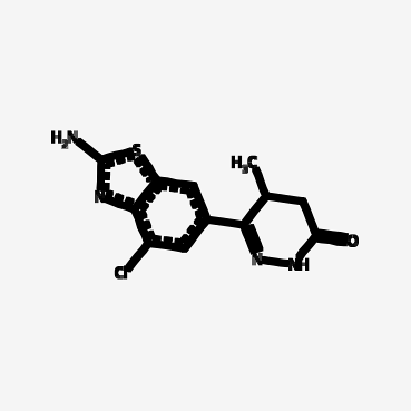 CC1CC(=O)NN=C1c1cc(Cl)c2nc(N)sc2c1